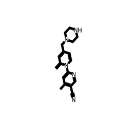 C=C1C=C(CN2CCNCC2)C=CN1c1cc(C)c(C#N)cn1